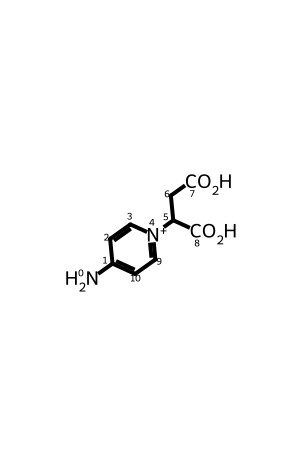 Nc1cc[n+](C(CC(=O)O)C(=O)O)cc1